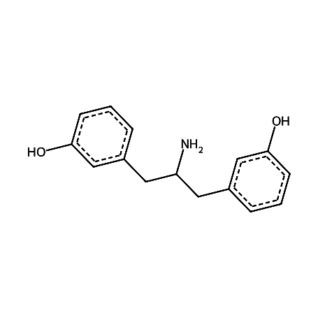 NC(Cc1cccc(O)c1)Cc1cccc(O)c1